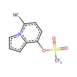 N#Cc1ccc(OS(=O)(=O)C(F)(F)F)c2cccn12